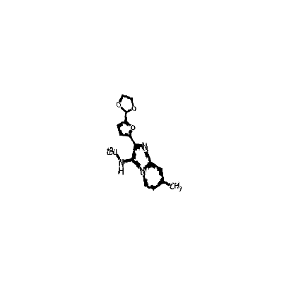 Cc1ccn2c(NC(C)(C)C)c(-c3ccc(C4OCCO4)o3)nc2c1